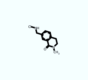 CN1CCc2ccc(CNCl)cc2C1=O